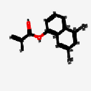 C=C(C)C(=O)Oc1cccc2c(C(C)=O)cc(C(C)=O)cc12